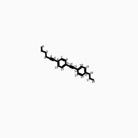 CCCCC#Cc1ccc(C#Cc2ccc(CCC)cc2)cc1